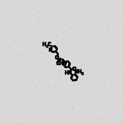 Cc1ccc(CON(C=O)Cc2ccc(C(=O)Nc3ccccc3N)cc2)cn1